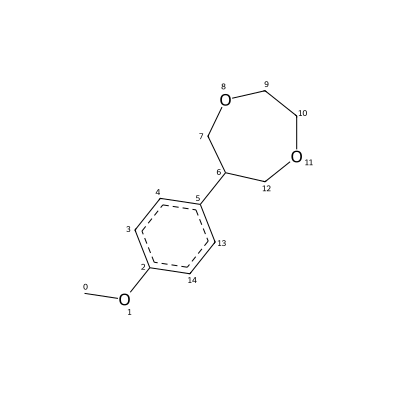 COc1ccc(C2COCCOC2)cc1